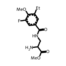 CCc1cc(C(=O)NCC(N)C(=O)OC)cc(F)c1OC